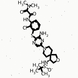 CN(C)C(=O)C(=O)Nc1cccc(Sc2ncc(N3CCC4(CC3)COC[C@H]4N[S@+]([O-])C(C)(C)C)nc2N)c1Cl